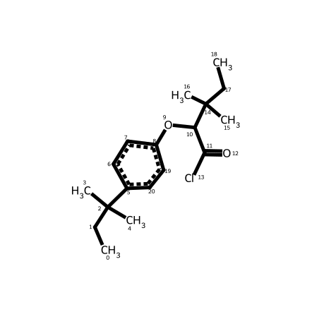 CCC(C)(C)c1ccc(OC(C(=O)Cl)C(C)(C)CC)cc1